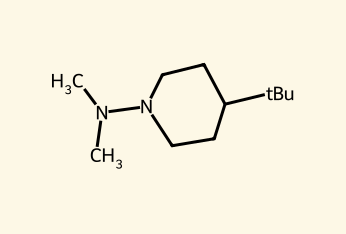 CN(C)N1CCC(C(C)(C)C)CC1